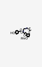 COc1ccc2c3c1OC(C3)/C(OC(=O)c1ccc(O)cc1)=C\C/C=C/N(C)[C@@H](C)C2